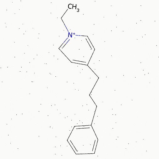 CC[n+]1ccc(CCCc2ccccc2)cc1